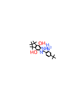 CC(C)(C)c1ccc(-c2nc3c(O)c4c(c(O)c3[nH]2)C(C)(C)C(C)(C)C4(C)C)c(N)c1